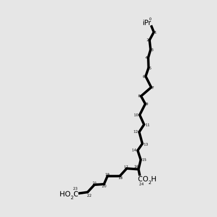 CC(C)CCCCCCCCCCCCCCCC(CCCCCCC(=O)O)C(=O)O